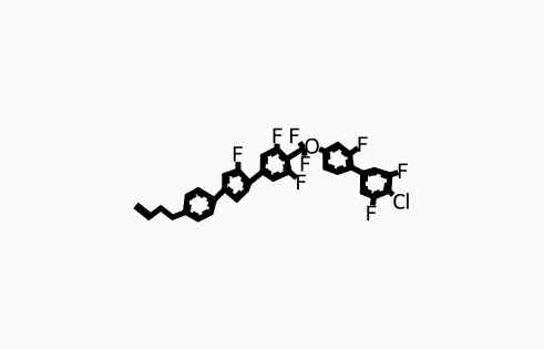 C=CCCc1ccc(-c2ccc(-c3cc(F)c(C(F)(F)Oc4ccc(-c5cc(F)c(Cl)c(F)c5)c(F)c4)c(F)c3)c(F)c2)cc1